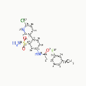 Cc1ccc(CC(=O)Nc2ccc(-c3ccc(Cl)nc3)c(S(N)(=O)=O)c2)c(F)c1